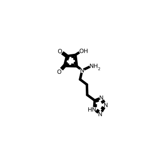 NN(CCCc1nnn[nH]1)c1c(O)c(=O)c1=O